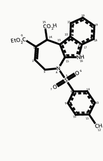 CCOC(=O)C1=CCN(S(=O)(=O)c2ccc(C)cc2)c2[nH]c3ccccc3c2C1C(=O)O